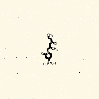 C=C/C=C(Cl)\C=C(/C)Cn1ccc(B(O)O)cc1=O